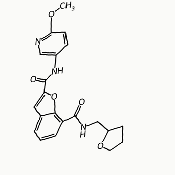 COc1ccc(NC(=O)c2cc3cccc(C(=O)NCC4CCCO4)c3o2)cn1